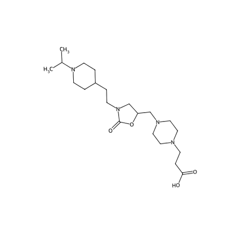 CC(C)N1CCC(CCN2CC(CN3CCN(CCC(=O)O)CC3)OC2=O)CC1